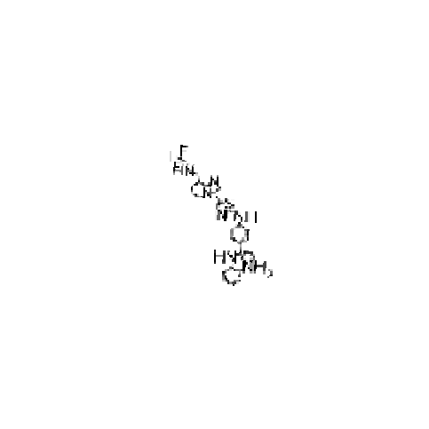 Nc1ccccc1NC(=O)c1ccc(Nc2ncc(-c3cnc4c(CNCC(F)(F)F)cccn34)s2)cc1